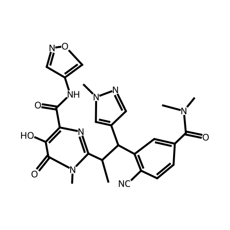 CC(c1nc(C(=O)Nc2cnoc2)c(O)c(=O)n1C)C(c1cnn(C)c1)c1cc(C(=O)N(C)C)ccc1C#N